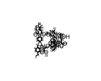 CCc1ccc(COc2ccc(-n3c(=O)cc(C(F)(F)F)n(C)c3=O)cc2)c(OC(C)C(=O)OC)c1.COc1nc(C)nc(NC(=O)NS(=O)(=O)c2ccsc2C(=O)O)n1.CP(=O)(O)CCC(N)C(=O)O